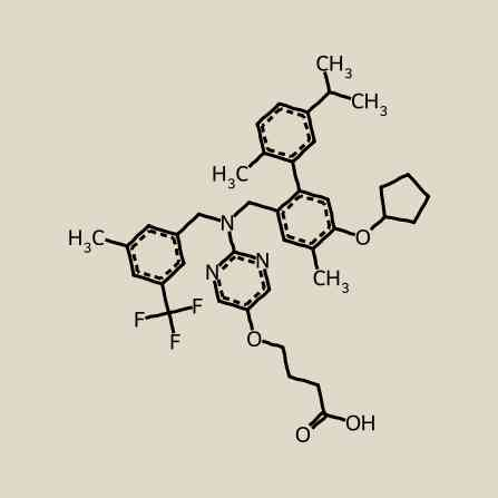 Cc1cc(CN(Cc2cc(C)c(OC3CCCC3)cc2-c2cc(C(C)C)ccc2C)c2ncc(OCCCC(=O)O)cn2)cc(C(F)(F)F)c1